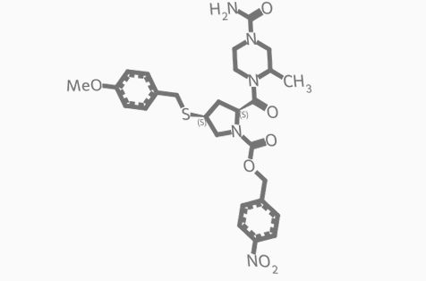 COc1ccc(CS[C@H]2C[C@@H](C(=O)N3CCN(C(N)=O)CC3C)N(C(=O)OCc3ccc([N+](=O)[O-])cc3)C2)cc1